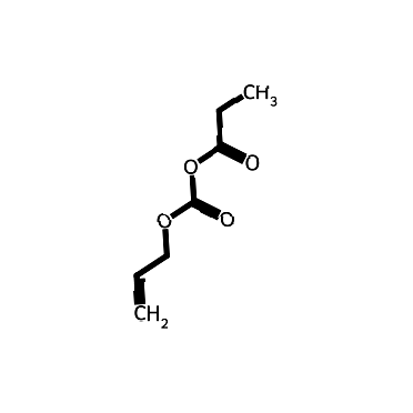 C=CCOC(=O)OC(=O)CC